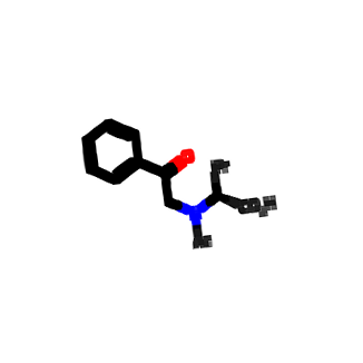 CC(=O)N(CC(=O)c1ccccc1)[C@H](C(=O)O)C(C)C